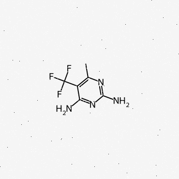 Cc1nc(N)nc(N)c1C(F)(F)F